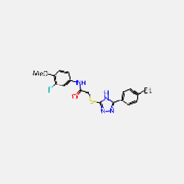 CCc1ccc(-c2nnc(SCC(=O)Nc3ccc(OC)c(F)c3)[nH]2)cc1